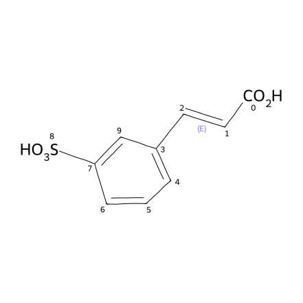 O=C(O)/C=C/c1cccc(S(=O)(=O)O)c1